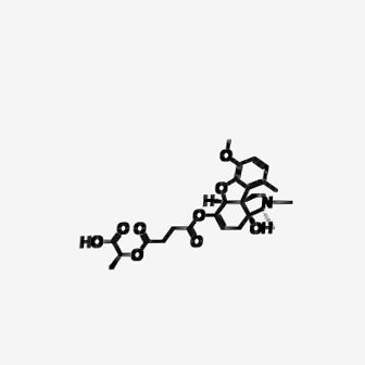 COc1ccc(C)c2c1O[C@H]1C(OC(=O)CCC(=O)O[C@@H](C)C(=O)O)=CC[C@@]3(O)[C@@H](C)N(C)CC[C@]213